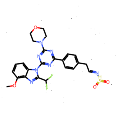 COc1cccc2c1nc(C(F)F)n2-c1nc(-c2ccc(CC=N[SH](=O)=O)cc2)nc(N2CCOCC2)n1